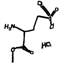 COC(=O)C(N)CCS(=O)(=O)Cl.Cl